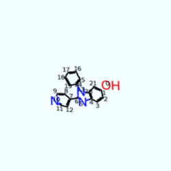 Oc1ccc2nc(-c3ccncc3)n(-c3ccccc3)c2c1